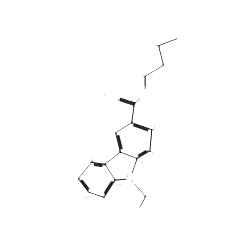 CCCCOC(=O)c1ccc2c(c1)c1ccccc1n2CC